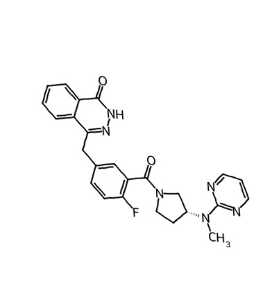 CN(c1ncccn1)[C@@H]1CCN(C(=O)c2cc(Cc3n[nH]c(=O)c4ccccc34)ccc2F)C1